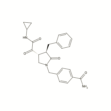 NC(=O)c1ccc(CN2C[C@H](C(=O)C(=O)NC3CC3)[C@@H](Cc3ccccc3)C2=O)cc1